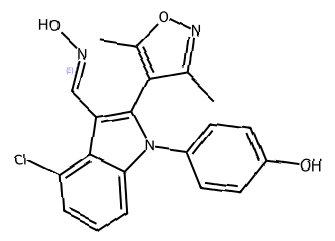 Cc1noc(C)c1-c1c(/C=N/O)c2c(Cl)cccc2n1-c1ccc(O)cc1